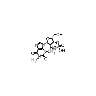 Cn1c(=O)c2ncn([C@@H]3O[C@H](CO)[C@@H](OP(=O)(O)O)[C@H]3O)c2n(C)c1=O